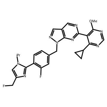 COc1ncnc(C2CC2)c1-c1ncc2cnn(Cc3ccc(-c4nc(CF)cn4C(C)C)c(F)c3)c2n1